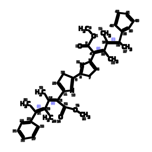 COC(=O)/C(C1=CCC(C2=NC(/C(C(=O)OC)=C(C)/C(C)=C(\C)c3ccccc3)=CC2)=N1)=C(C)\C(C)=C(/C)c1ccccc1